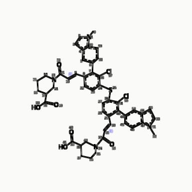 Cn1ccc2cc(-c3c(/C=C/C(=O)N4CCCC(C(=O)O)C4)ccc(Sc4ccc(/C=C/C(=O)N5CCCC(C(=O)O)C5)c(-c5ccc6c(ccn6C)c5)c4Cl)c3Cl)ccc21